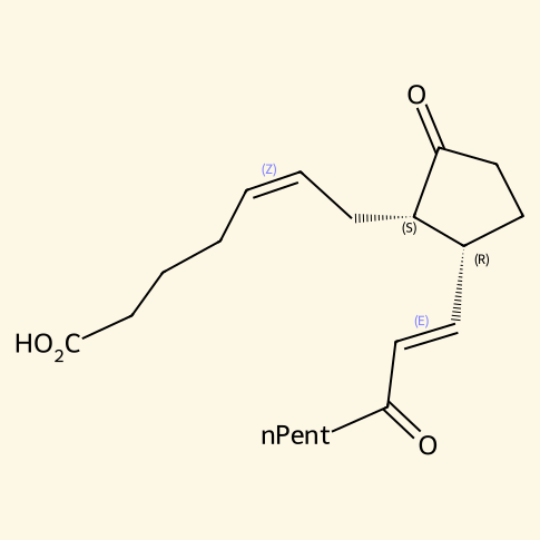 CCCCCC(=O)/C=C/[C@H]1CCC(=O)[C@H]1C/C=C\CCCC(=O)O